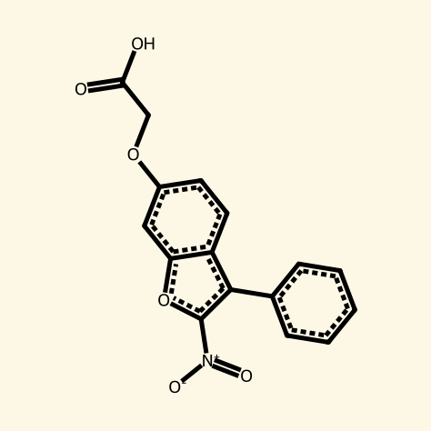 O=C(O)COc1ccc2c(-c3ccccc3)c([N+](=O)[O-])oc2c1